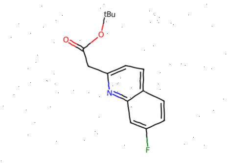 CC(C)(C)OC(=O)Cc1ccc2ccc(F)cc2n1